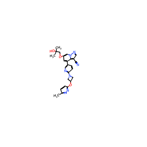 Cc1ccc(OC2CN(c3ccc(-c4cc(OCC(C)(C)O)cn5ncc(C#N)c45)cn3)C2)nn1